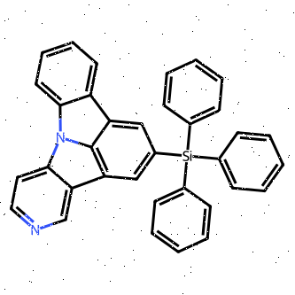 c1ccc([Si](c2ccccc2)(c2ccccc2)c2cc3c4ccccc4n4c5ccncc5c(c2)c34)cc1